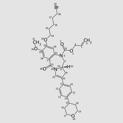 C=CCOC(=O)N1C[C@@H]2CC(c3ccc(C4CCOCC4)cc3)=CN2C(=O)c2cc(OC)c(OCCCCCBr)cc21